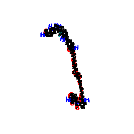 CN(C(=O)c1c(C=O)cccc1NCCOCCOCCOCCOCCOCCOCCOCCOCCC(=O)Nc1ccc(NSc2ccc(-c3cnc(N)c(-c4ccc5c(c4)CCNC5=O)c3)c(F)c2)cc1)C1CCC(=O)NC1=O